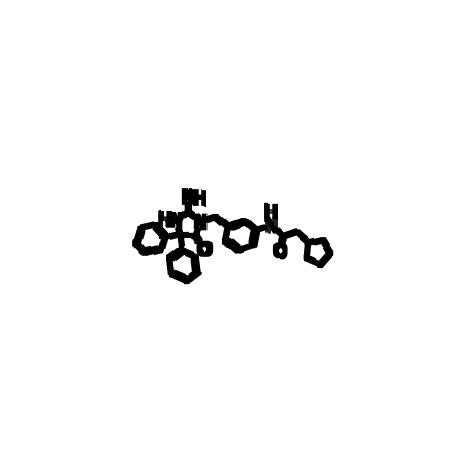 N=C1NC(c2ccccc2)(c2ccccc2)C(=O)N1Cc1cccc(NC(=O)CC2CCCC2)c1